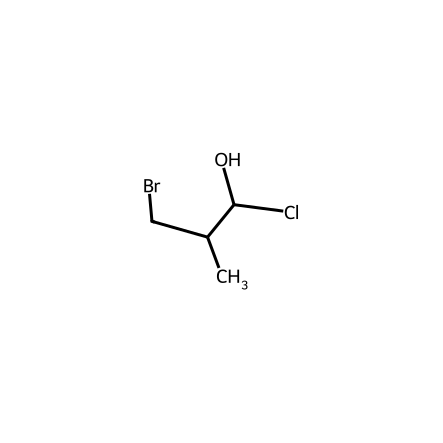 CC(CBr)C(O)Cl